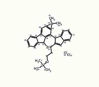 C[Si](C)(C)OCCCC1=Cc2ccccc2C1c1c2c(cc3c1[Si]3(C)C)-c1ccccc1[CH]2[Zr+2].[Cl-].[Cl-]